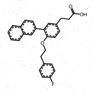 O=C(O)CCc1ccc(OCCc2ccc(F)cc2)c(-c2ccc3ccccc3c2)c1